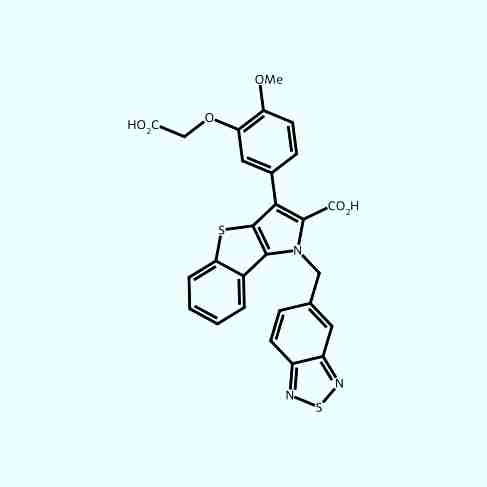 COc1ccc(-c2c(C(=O)O)n(Cc3ccc4nsnc4c3)c3c2sc2ccccc23)cc1OCC(=O)O